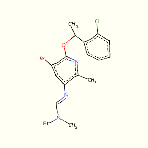 CCN(C)/C=N/c1cc(Br)c(OC(C)c2ccccc2Cl)nc1C